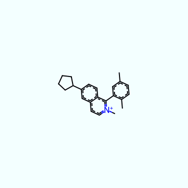 Cc1ccc(C)c(-c2c3ccc(C4CCCC4)cc3cc[n+]2C)c1